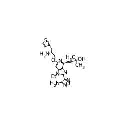 CCn1c(-c2nonc2N)nc2c(C#CC(C)(C)O)nc(OC[C@@H](N)Cc3ccsc3)cc21